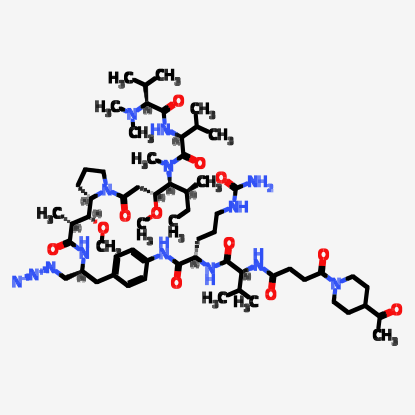 CC[C@H](C)[C@@H]([C@@H](CC(=O)N1CCC[C@H]1[C@H](OC)[C@@H](C)C(=O)N[C@H](CN=[N+]=[N-])Cc1ccc(NC(=O)[C@H](CCCNC(N)=O)NC(=O)[C@@H](NC(=O)CCC(=O)N2CCC(C(C)=O)CC2)C(C)C)cc1)OC)N(C)C(=O)[C@@H](NC(=O)[C@H](C(C)C)N(C)C)C(C)C